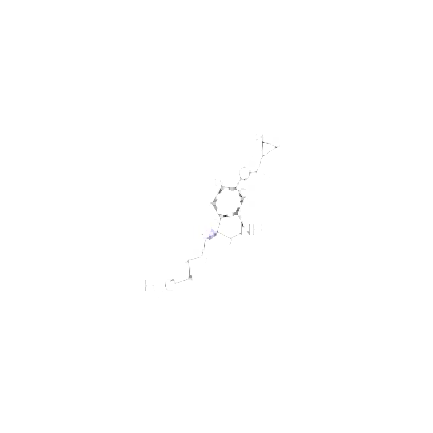 CCCC/C=C1\CNc2cc(OCC3CC3)ccc21